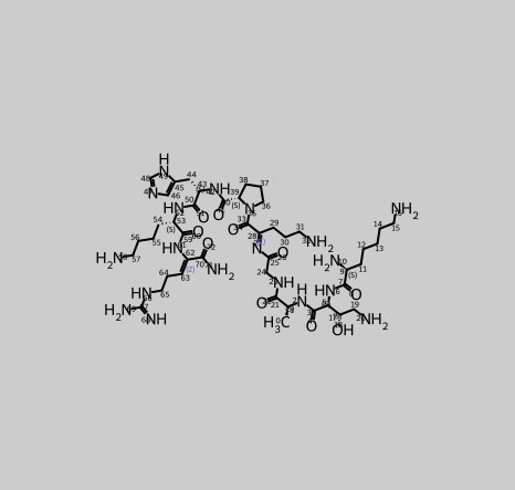 C[C@H](NC(=O)[C@@H](NC(=O)[C@@H](N)CCCCCN)[C@@H](O)CN)C(=O)NCC(=O)/N=C(\CCCN)C(=O)N1CCC[C@H]1C(=O)N[C@@H](Cc1cnc[nH]1)C(=O)N[C@@H](CCCCN)C(=O)N/C(=C\CCNC(=N)N)C(N)=O